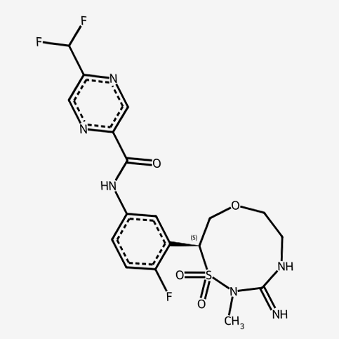 CN1C(=N)NCCOC[C@H](c2cc(NC(=O)c3cnc(C(F)F)cn3)ccc2F)S1(=O)=O